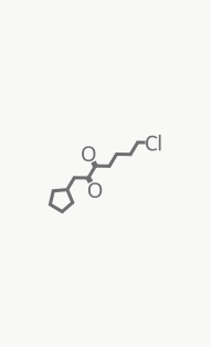 O=C(CCCCCl)C(=O)CC1CCCC1